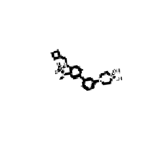 CN1c2cc(-c3cccc(N4CCS(O)(O)CC4)c3)ccc2N(CC2CCC2)S1(=O)=O